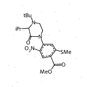 COC(=O)c1cc([N+](=O)[O-])c(N2CCN(C(C)(C)C)C(C(C)C)C2=O)cc1SC